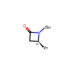 CC(C)[C@H]1CC(=O)N1C(C)(C)C